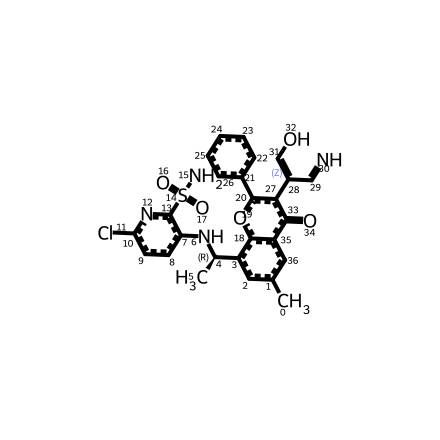 Cc1cc([C@@H](C)Nc2ccc(Cl)nc2S(N)(=O)=O)c2oc(-c3ccccc3)c(/C(C=N)=C/O)c(=O)c2c1